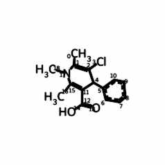 CC1=C(Cl)C(c2ccccc2)C(C(=O)O)=C(C)N1C